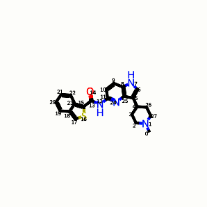 CN1CCC(c2c[nH]c3ccc(NC(=O)c4scc5ccccc45)nc23)CC1